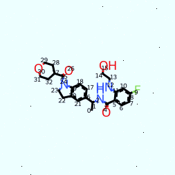 CC(NC(=O)c1ccc(F)cc1NCCO)c1ccc2c(c1)CCN2C(=O)C1CCOCC1